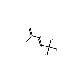 C=C(C)C=CC(C)(C)C